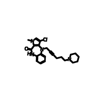 Cn1cc(Cl)c2c1C(=O)Nc1ccccc1N2CC#CCCCN1CCCCC1